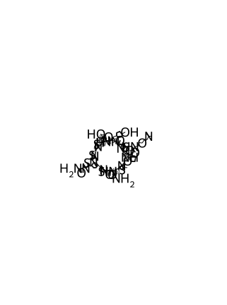 Cc1sc2nc1C(=O)N[C@@H]([C@H](OC(=O)NCCOCCN(C)C)c1ccccc1)c1nc(cs1)C(=O)N[C@@H](Cc1ccc(O)cc1)C(=O)N1C[C@H](O)[C@H](C)[C@H]1c1nc(cs1)-c1nc(cs1)-c1nc(-c3nc(C(N)=O)cs3)ccc1-c1nc(cs1)C(=O)N[C@H]2CC(N)=O